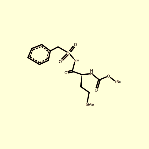 CSCC[C@H](NC(=O)OC(C)(C)C)C(=O)NS(=O)(=O)Cc1ccccc1